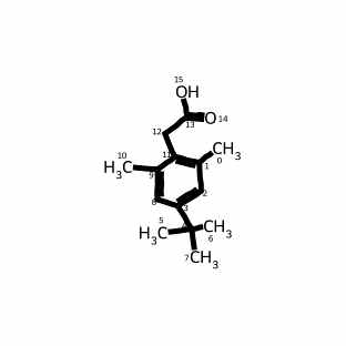 Cc1cc(C(C)(C)C)cc(C)c1CC(=O)O